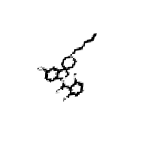 C=CCCCN1CCC2(CC1)CN(C(=O)c1c(F)cccc1F)c1ccc(Cl)cc12